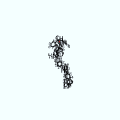 CC(C)c1ccccc1N1C(=NC(=O)NC2Cc3ccc(-c4ncn(-c5ccc(OC(F)(F)F)cc5)n4)cc3C2)SCC1C